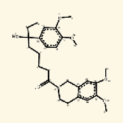 CCC(O)(CCCCC(=O)N1CCc2cc(OC)c(OC)cc2C1)c1ccc(OC)c(OC)c1